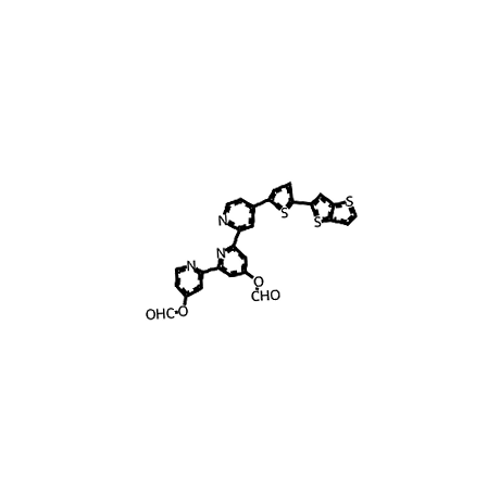 O=COc1ccnc(-c2cc(OC=O)cc(-c3cc(-c4ccc(-c5cc6sccc6s5)s4)ccn3)n2)c1